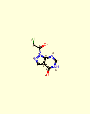 O=C(CCl)n1ncc2c(=O)[nH]cnc21